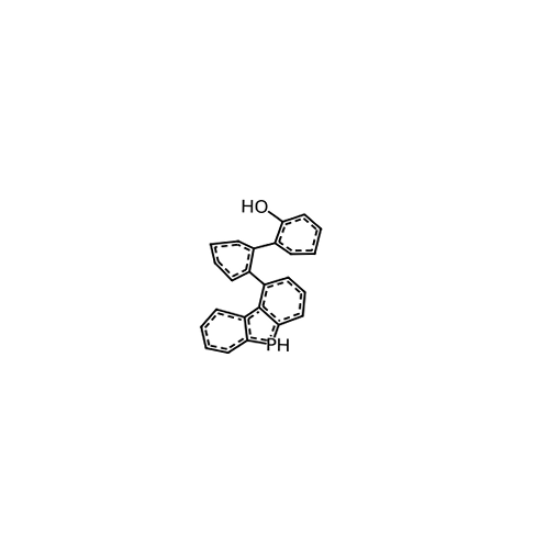 Oc1ccccc1-c1ccccc1-c1cccc2[pH]c3ccccc3c12